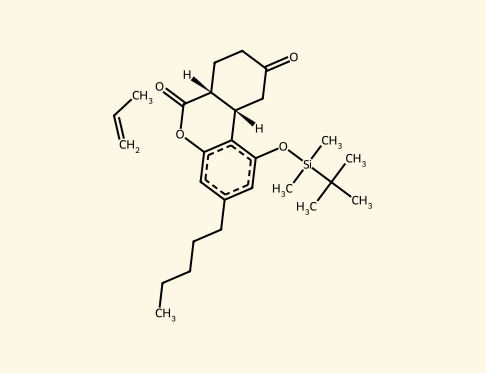 C=CC.CCCCCc1cc2c(c(O[Si](C)(C)C(C)(C)C)c1)[C@H]1CC(=O)CC[C@H]1C(=O)O2